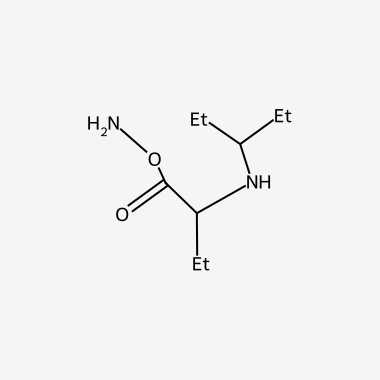 CCC(CC)NC(CC)C(=O)ON